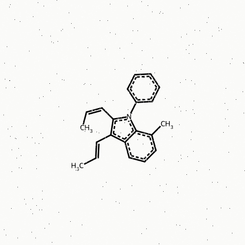 C/C=C\c1c(/C=C/C)c2cccc(C)c2n1-c1ccccc1